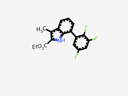 CCOC(=O)c1[nH]c2c(-c3cc(F)cc(F)c3F)cccc2c1C